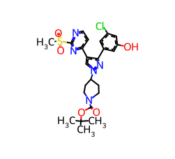 CC(C)(C)OC(=O)N1CCC(n2cc(-c3ccnc(S(C)(=O)=O)n3)c(-c3cc(O)cc(Cl)c3)n2)CC1